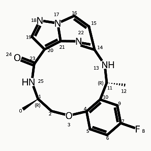 C[C@@H]1COc2ccc(F)cc2[C@@H](C)Nc2ccn3ncc(c3n2)C(=O)N1